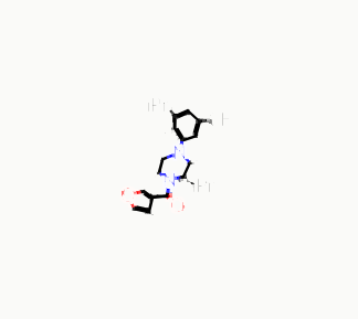 CC(C)c1[c]c(C(F)(F)F)cc(N2CCN(C(=O)c3ccoc3)[C@H](C(C)C)C2)c1